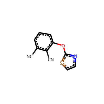 N#Cc1cccc(Oc2nc[c]s2)c1C#N